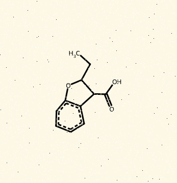 CCC1Oc2ccccc2C1C(=O)O